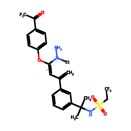 C=C(/C=C(/Oc1ccc(C(=O)C(F)(F)F)cc1)N(N)CC)c1cccc(C(C)(C)NS(=O)(=O)CC(F)(F)F)c1